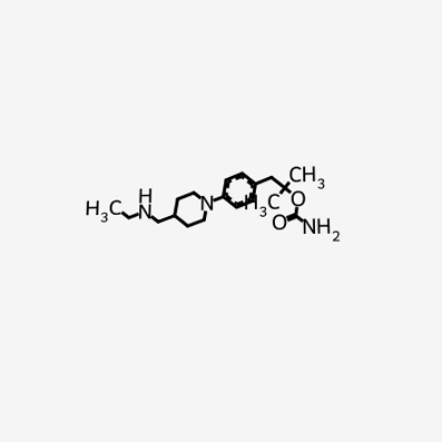 CCNCC1CCN(c2ccc(CC(C)(C)OC(N)=O)cc2)CC1